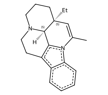 CC[C@@]12C=C(C)n3c4c(c5ccccc53)CCN(CCC1)[C@H]42